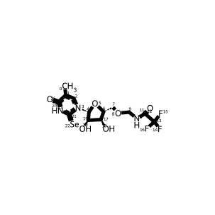 Cc1cn([C@@H]2O[C@H](COCNC(=O)C(F)(F)F)[C@@H](O)[C@H]2O)c(=[Se])[nH]c1=O